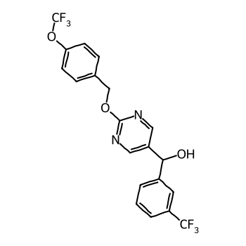 OC(c1cnc(OCc2ccc(OC(F)(F)F)cc2)nc1)c1cccc(C(F)(F)F)c1